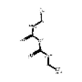 O=C(NCC(F)(F)F)OC(=O)NCC(F)(F)F